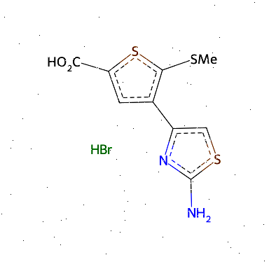 Br.CSc1sc(C(=O)O)cc1-c1csc(N)n1